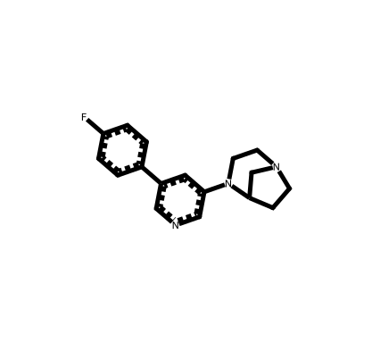 Fc1ccc(-c2cncc(N3CCN4CCC3C4)c2)cc1